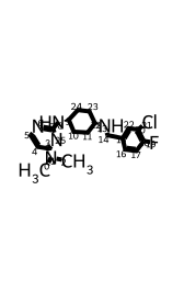 CN(C)c1ccnc(N[C@H]2CC[C@@H](NCc3ccc(F)c(Cl)c3)CC2)n1